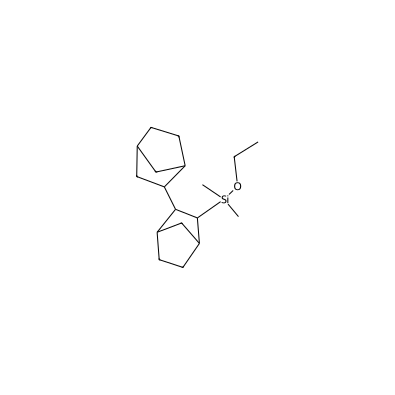 CCO[Si](C)(C)C1C2CCC(C2)C1C1CC2CCC1C2